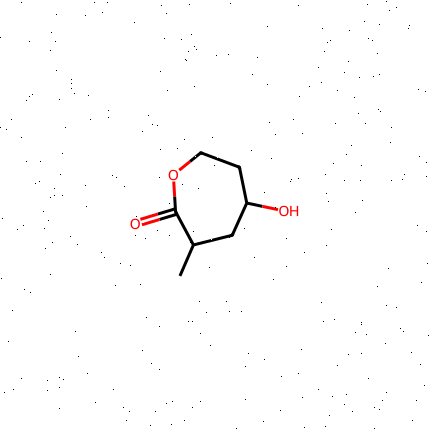 CC1CC(O)CCOC1=O